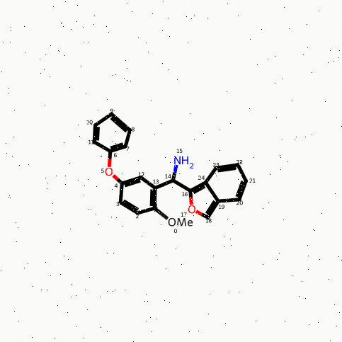 COc1ccc(Oc2ccccc2)cc1C(N)c1occ2ccccc12